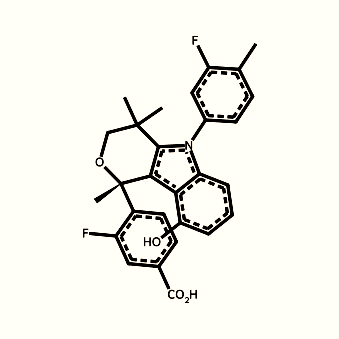 Cc1ccc(-n2c3c(c4c(O)cccc42)[C@](C)(c2ccc(C(=O)O)cc2F)OCC3(C)C)cc1F